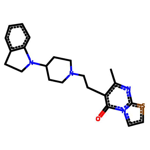 Cc1nc2sccn2c(=O)c1CCN1CCC(N2CCc3ccccc32)CC1